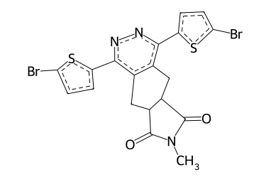 CN1C(=O)C2Cc3c(-c4ccc(Br)s4)nnc(-c4ccc(Br)s4)c3CC2C1=O